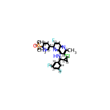 Cc1nc2cc(F)c(-c3ccc(P(C)(C)=O)nc3)nc2c(N[C@H](c2cc(F)cc(F)c2)C2CC2)c1Cl